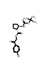 CC(C)(C)OC(=O)N[C@@H]1CCC[C@H]1C(=O)OCC(=O)c1ccc(Br)cc1